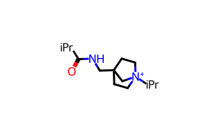 CC(C)C(=O)NCC12CC[N+](C(C)C)(CC1)C2